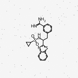 N=C(N)c1cccc(CC(NS(=O)(=O)C2CC2)c2nc3ccccc3s2)c1